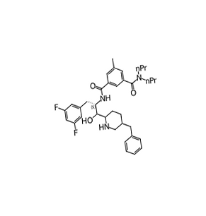 CCCN(CCC)C(=O)c1cc(C)cc(C(=O)N[C@@H](Cc2cc(F)cc(F)c2)C(O)C2CCC(Cc3ccccc3)CN2)c1